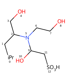 CC(C)CC(CO)N(CCO)C(O)CS(=O)(=O)O